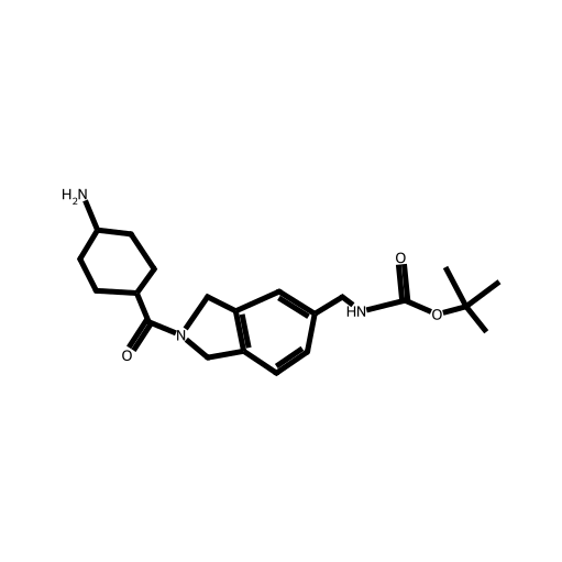 CC(C)(C)OC(=O)NCc1ccc2c(c1)CN(C(=O)C1CCC(N)CC1)C2